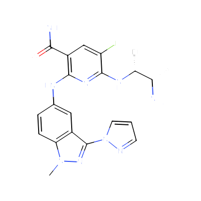 CC[C@@H](Nc1nc(Nc2ccc3c(c2)c(-n2cccn2)nn3C)c(C(N)=O)cc1F)[C@H](C)N